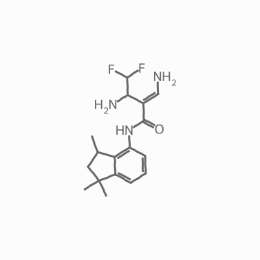 CC1CC(C)(C)c2cccc(NC(=O)/C(=C/N)C(N)C(F)F)c21